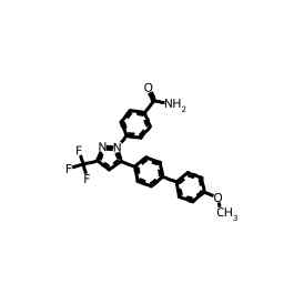 COc1ccc(-c2ccc(-c3cc(C(F)(F)F)nn3-c3ccc(C(N)=O)cc3)cc2)cc1